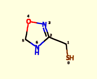 SCC1=NOCN1